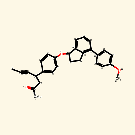 CC#CC(CC(=O)OC)c1ccc(OC2CCc3c(-c4ccc(OC(F)(F)F)cc4)cccc32)cc1